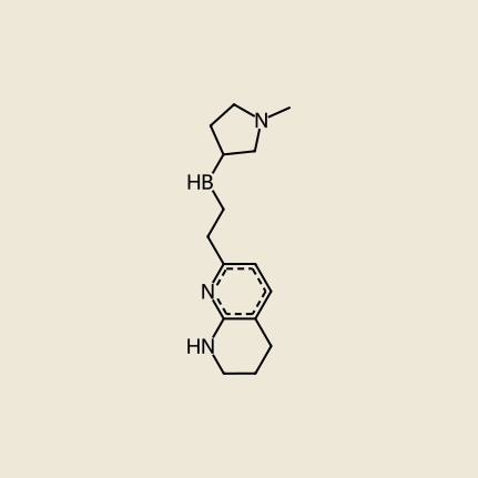 CN1CCC(BCCc2ccc3c(n2)NCCC3)C1